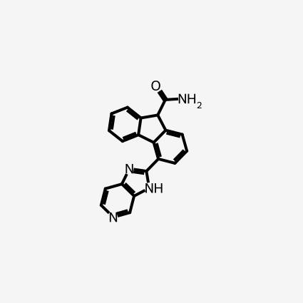 NC(=O)C1c2ccccc2-c2c(-c3nc4ccncc4[nH]3)cccc21